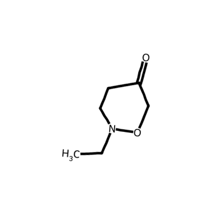 CCN1CCC(=O)CO1